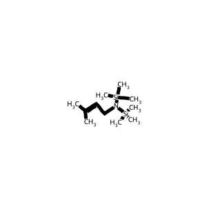 CC(C)=CCN([Si](C)(C)C)[Si](C)(C)C